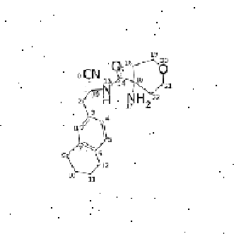 N#C[C@@H](Cc1ccc2c(c1)CCCC2)NC(=O)C1(N)CCOCC1